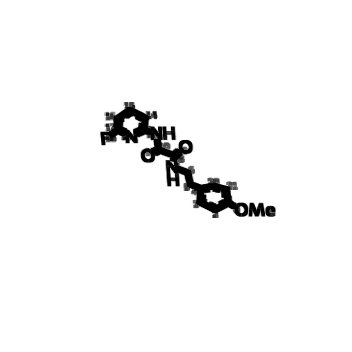 COc1ccc(CCNC(=O)C(=O)Nc2cccc(F)n2)cc1